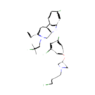 C=C[C@H]1Cc2c([nH]c3cc(F)ccc23)[C@H](c2c(F)cc(OC3CN(CCCF)C3)cc2F)N1CC(C)(C)F